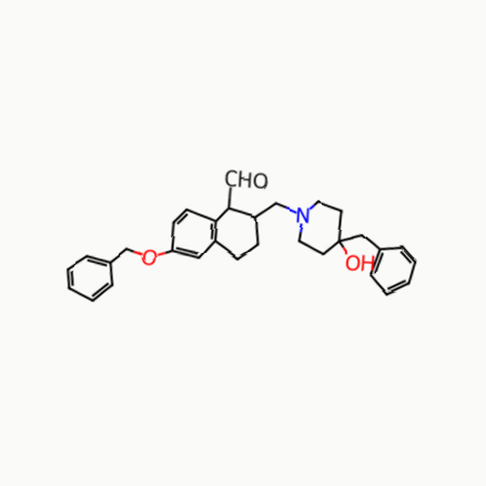 O=CC1c2ccc(OCc3ccccc3)cc2CCC1CN1CCC(O)(Cc2ccccc2)CC1